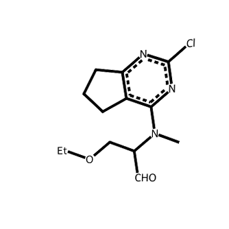 CCOCC(C=O)N(C)c1nc(Cl)nc2c1CCC2